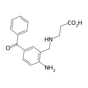 Nc1ccc(C(=O)c2ccccc2)cc1CNCCC(=O)O